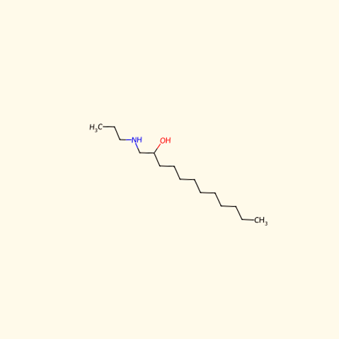 CCCCCCCCCCC(O)CNCCC